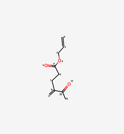 C=CCOC(=O)CCC(=C)C(C)=O